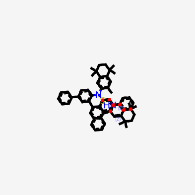 C=C(C)/C=C1\C(=C/NCSN(c2cc3c(cc2C)C(C)(C)CCC3(C)C)c2ccc(-c3ccccc3)cc2-c2cc3ccccc3c3cc(-c4ccccc4)ccc23)C(C)(C)CCC1(C)C